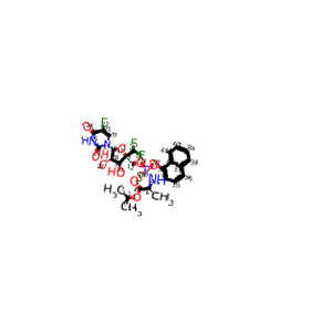 CC(C)OC(=O)[C@H](C)NP(=S)(OC[C@@]1(C(F)F)O[C@@H](n2cc(F)c(=O)[nH]c2=O)[C@H](O)[C@@H]1O)Oc1cccc2ccccc12